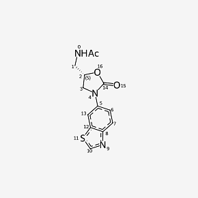 CC(=O)NC[C@H]1CN(c2ccc3ncsc3c2)C(=O)O1